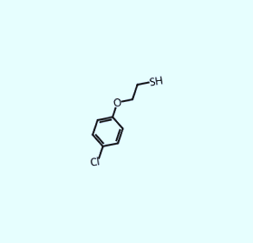 SCCOc1ccc(Cl)cc1